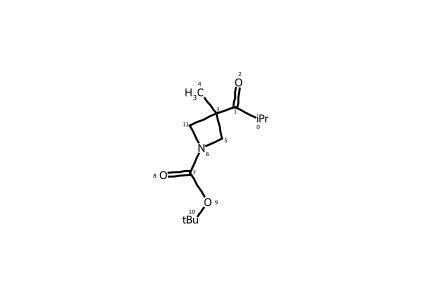 CC(C)C(=O)C1(C)CN(C(=O)OC(C)(C)C)C1